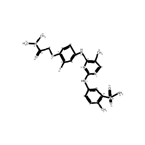 Cc1ccc(Nc2ncc(C)c(Nc3ccc(OCC(=O)N(C)C)c(F)c3)n2)cc1S(N)(=O)=O